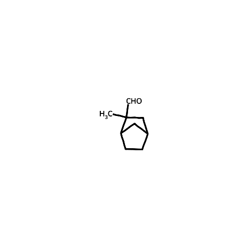 CC1(C=O)CC2CCC1C2